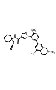 Cc1cc(-c2cnc(N)c(-n3cc(C(=O)NC4(CC#N)CCCCC4)cn3)n2)cc2c1CCN(C)C2